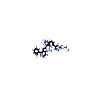 Cn1cc(-c2ccc3[nH]nc(-c4cc5c(-c6ccccc6F)nccc5[nH]4)c3n2)cn1